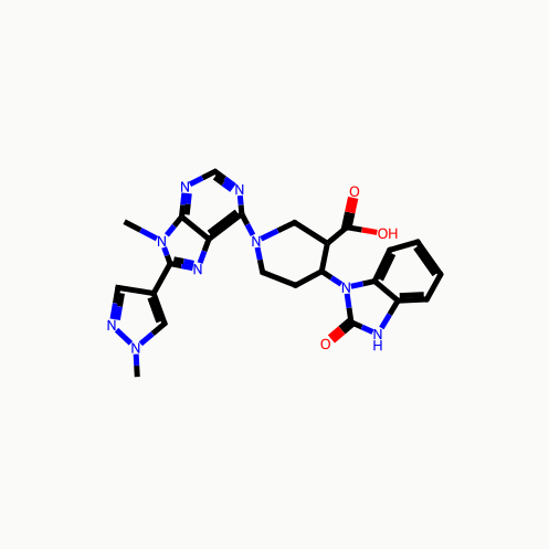 Cn1cc(-c2nc3c(N4CCC(n5c(=O)[nH]c6ccccc65)C(C(=O)O)C4)ncnc3n2C)cn1